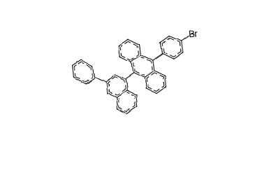 Brc1ccc(-c2c3ccccc3c(-c3cc(-c4ccccc4)cc4ccccc34)c3ccccc23)cc1